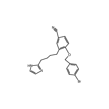 N#Cc1ccc(OCc2ccc(Br)cc2)c(CCCCc2ncc[nH]2)c1